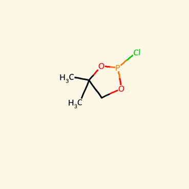 CC1(C)COP(Cl)O1